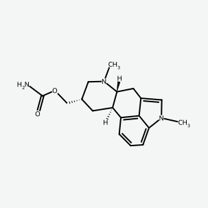 CN1C[C@@H](COC(N)=O)C[C@@H]2c3cccc4c3c(cn4C)C[C@H]21